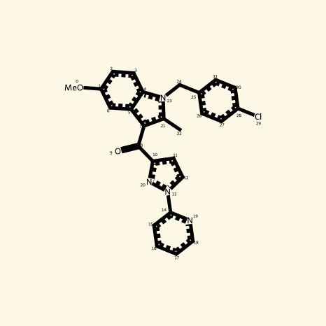 COc1ccc2c(c1)c(C(=O)c1ccn(-c3ccccn3)n1)c(C)n2Cc1ccc(Cl)cc1